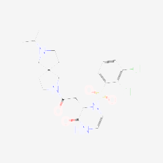 CC(C)N1CCC2(CCN(C(=O)C[C@@H]3C(=O)NC=CN3S(=O)(=O)c3cccc(Cl)c3Cl)C2)C1